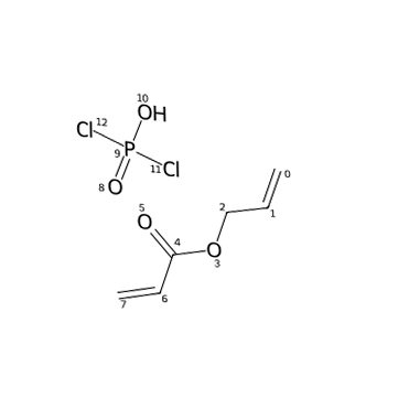 C=CCOC(=O)C=C.O=P(O)(Cl)Cl